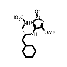 COc1n[s+]([O-])nc1N[C@@H](CNC(=O)O)CC1CCCCC1